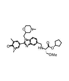 COC[C@H](NCc1ccc2c(c1)nc(-c1cc(C)c(=O)n(C)c1)n2CC1CN(C)CCO1)C(=O)OC1CCCC1